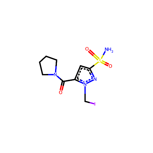 NS(=O)(=O)c1cc(C(=O)N2CCCC2)n(CI)n1